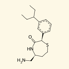 CCC(CC)c1cccc([C@H]2SCC[C@@H](CN)NC2=O)c1